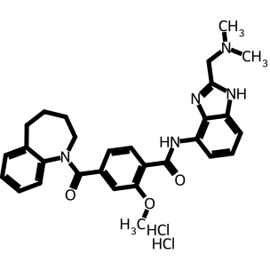 COc1cc(C(=O)N2CCCCc3ccccc32)ccc1C(=O)Nc1cccc2[nH]c(CN(C)C)nc12.Cl.Cl